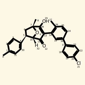 Cc1ccc([C@H]2C[C@@]3(C)O[C@@H]2C(=O)C(c2cc(-c4ccc(Cl)cc4)ccc2C)=C3O)cc1